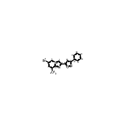 FC(F)(F)c1cc(Br)cn2cc(-c3cc(-c4ccccc4)no3)nc12